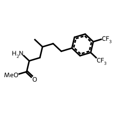 COC(=O)C(N)CC(C)CCc1ccc(C(F)(F)F)c(C(F)(F)F)c1